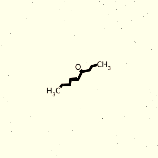 CCCC=CC(=O)CCC